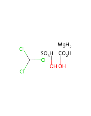 ClC(Cl)Cl.O=C(O)O.O=S(=O)(O)O.[MgH2]